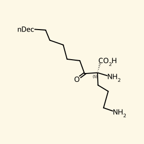 CCCCCCCCCCCCCCCC(=O)[C@@](N)(CCCN)C(=O)O